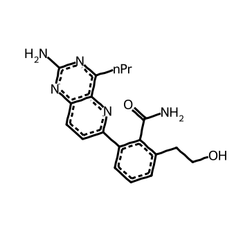 CCCc1nc(N)nc2ccc(-c3cccc(CCO)c3C(N)=O)nc12